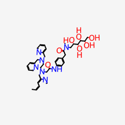 C=N/C(=C\C=C/C)CN(CCN(Cc1ccccn1)Cc1ccccn1)CC(=O)Nc1ccc(CC(=O)N(C)C[C@H](O)[C@@H](O)[C@H](O)[C@H](O)CO)cc1